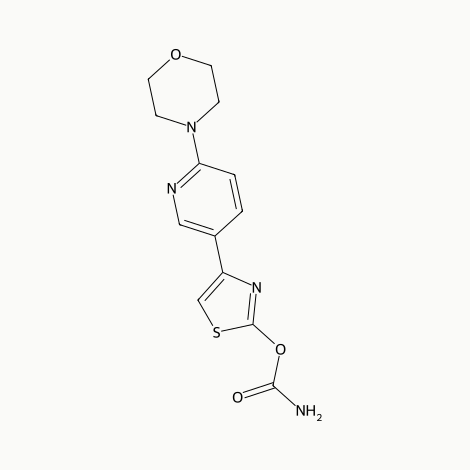 NC(=O)Oc1nc(-c2ccc(N3CCOCC3)nc2)cs1